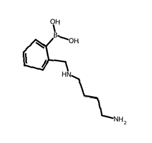 NCCCCNCc1ccccc1B(O)O